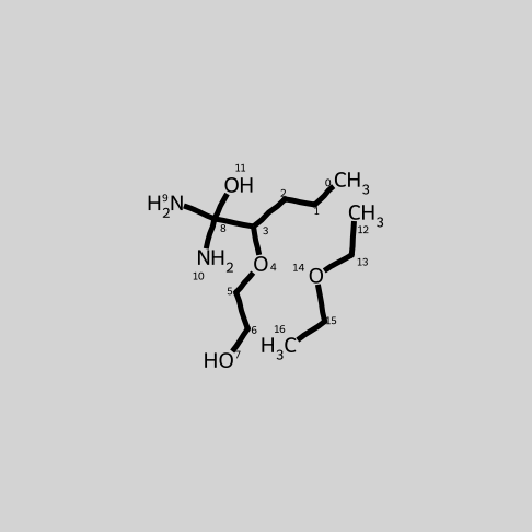 CCCC(OCCO)C(N)(N)O.CCOCC